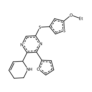 CCOc1cc(Sc2cnc(C3C=CCCN3)c(-c3ccco3)n2)cs1